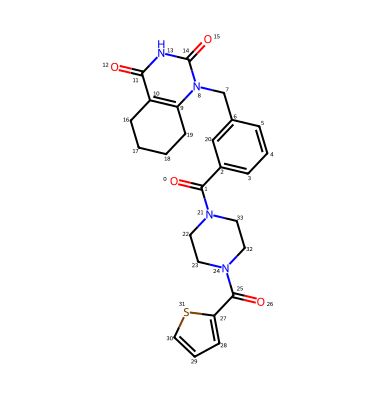 O=C(c1cccc(Cn2c3c(c(=O)[nH]c2=O)CCCC3)c1)N1CCN(C(=O)c2cccs2)CC1